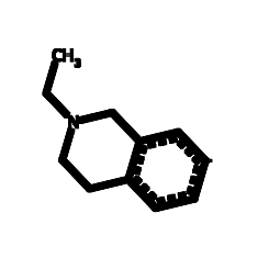 CCN1CCc2cc[c]cc2C1